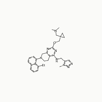 CCc1cccc2cccc(N3CCc4c(nc(OCC5(CN(C)C)CC5)nc4NCc4cnnn4C)C3)c12